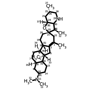 CC1=C2C[C@H]3[C@@H](CC[C@@H]4C[C@H](N(C)C)CC[C@@]43C)[C@@H]2CC[C@@]2(C1)O[C@@H]1C[C@H](C)CNC1[C@H]2C